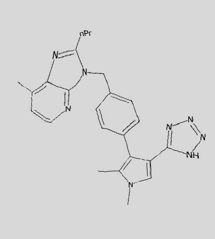 CCCc1nc2c(C)ccnc2n1Cc1ccc(-c2c(-c3nnn[nH]3)cn(C)c2C)cc1